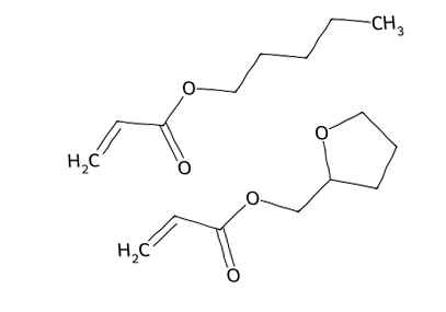 C=CC(=O)OCC1CCCO1.C=CC(=O)OCCCCC